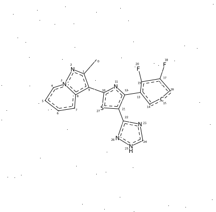 Cc1nn2ccccc2c1-c1nc(-c2cccc(F)c2F)c(-c2nc[nH]n2)s1